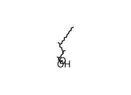 CCCCCCCCCCCC(C)CCC/C(C)=C\CC/C(C)=C\C(=O)O